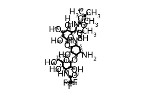 COBNC1C[C@@H](N)C(O[C@H]2OC(CO)[C@@H](O)C(NC(=O)C(F)(F)F)C2O)C(O)[C@@H]1O[C@H]1OC(CNC(=O)OC(C)(C)C)[C@@H](O)C(O)C1O